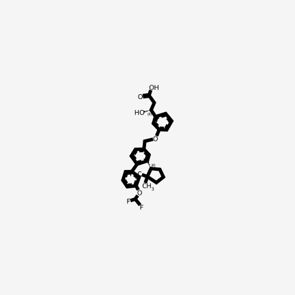 CC1(C)CCC[C@H]1c1cc(COc2cccc([C@H](O)CC(=O)O)c2)ccc1-c1cccc(OC(F)F)c1